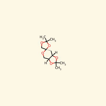 CC1(C)O[C@H]2C[C@@]3(COC(C)(C)O3)OC[C@H]2O1